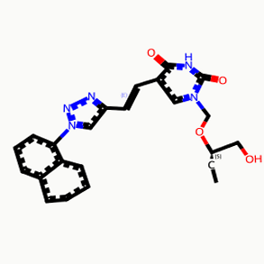 CC[C@@H](CO)OCn1cc(/C=C/c2cn(-c3cccc4ccccc34)nn2)c(=O)[nH]c1=O